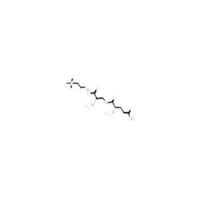 C[N+](C)(C)CCOOC(=O)[C@H](N)CSC(=O)[C@H](N)CCC(=O)O